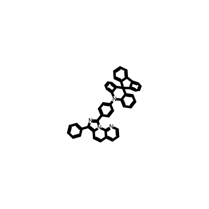 c1ccc(-c2nc(-c3ccc(N4c5ccccc5C5(c6ccccc6-c6ccccc65)c5ccccc54)cc3)n3c2ccc2cccnc23)cc1